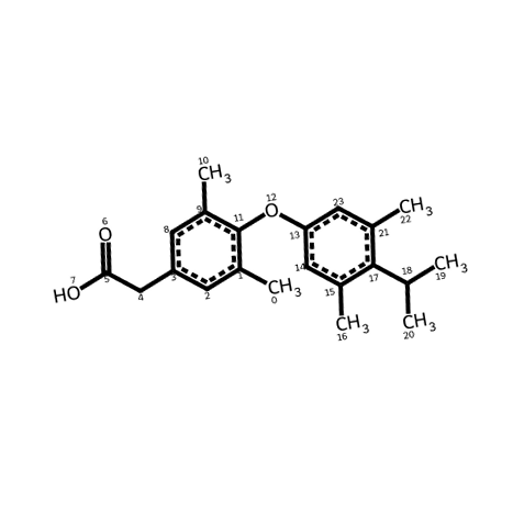 Cc1cc(CC(=O)O)cc(C)c1Oc1cc(C)c(C(C)C)c(C)c1